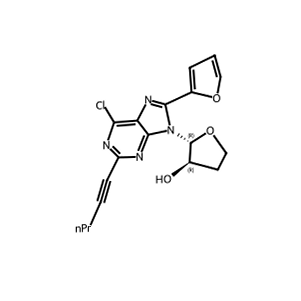 CCCC#Cc1nc(Cl)c2nc(-c3ccco3)n([C@@H]3OCC[C@H]3O)c2n1